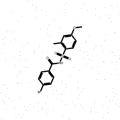 COc1ccc(S(=O)(=O)NC(=O)c2ccc(Br)cc2)c(C)c1